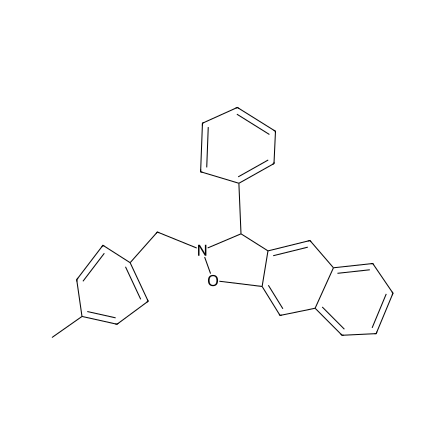 Cc1ccc(CN2Oc3cc4ccccc4cc3C2c2ccccc2)cc1